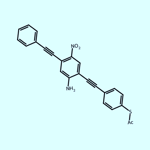 CC(=O)Sc1ccc(C#Cc2cc([N+](=O)[O-])c(C#Cc3ccccc3)cc2N)cc1